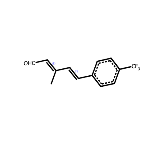 CC(/C=C/c1ccc(C(F)(F)F)cc1)=C\C=O